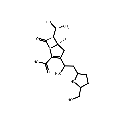 CC(CC1CCC(CO)N1)C1=C(C(=O)O)N2C(=O)[C@H]([C@@H](C)O)[C@H]2C1